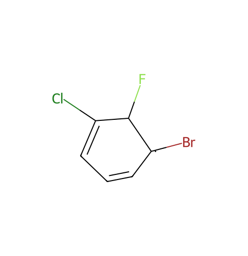 FC1[C](Br)C=CC=C1Cl